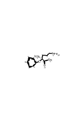 NCCC[C@](N)(Cc1ccccc1)C(=O)O